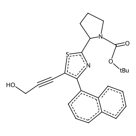 CC(C)(C)OC(=O)N1CCCC1c1nc(-c2cccc3ccccc23)c(C#CCO)s1